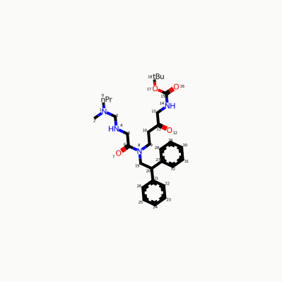 CCCN(C)CNCC(=O)N(CCC(=O)CNC(=O)OC(C)(C)C)CC(c1ccccc1)c1ccccc1